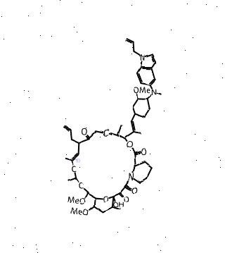 C=CCC1/C=C(\C)CC(C)CC(OC)C2OC(O)(C(=O)C(=O)N3CCCCC3C(=O)OC(C(C)=CC3CCC(N(C)c4ccc5c(ccn5CC=C)c4)C(OC)C3)C(C)CCC1=O)C(C)CC2OC